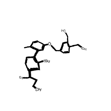 CCC(CCO)c1ccc(-c2cc(OCc3ccc(CO)c(CO)c3)ccc2C)c(C(C)(C)C)c1